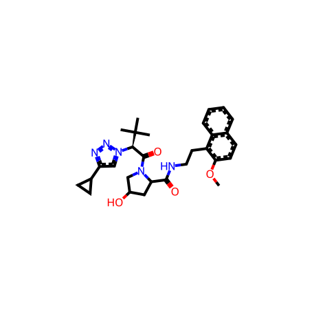 COc1ccc2ccccc2c1CCNC(=O)C1CC(O)CN1C(=O)[C@@H](n1cc(C2CC2)nn1)C(C)(C)C